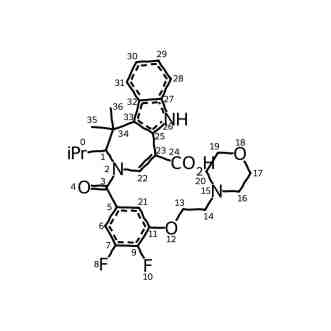 CC(C)C1N(C(=O)c2cc(F)c(F)c(OCCN3CCOCC3)c2)C=C(C(=O)O)c2[nH]c3ccccc3c2C1(C)C